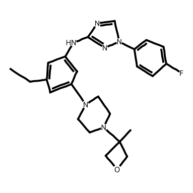 CCc1cc(Nc2ncn(-c3ccc(F)cc3)n2)cc(N2CCN(C3(C)COC3)CC2)c1